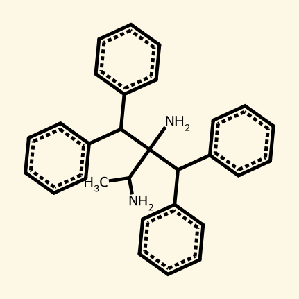 CC(N)C(N)(C(c1ccccc1)c1ccccc1)C(c1ccccc1)c1ccccc1